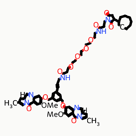 COc1cc2c(cc1OCc1cc(C#CCNC(=O)CCOCCOCCOCCOCCNC(=O)CCN3C(=O)CC(C4CCCCCCCC4)C3=O)cc(COc3cc4c(cc3OC)C(=O)N3C=C(C)C[C@H]3C=N4)c1)N=C[C@@H]1CC(C)=CN1C2=O